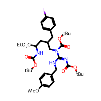 CCOC(=O)C(CC(Cc1ccc(I)cc1)CN(C(=O)OC(C)(C)C)/C(=N/C(=O)OC(C)(C)C)NCc1ccc(OC)cc1)NC(=O)OC(C)(C)C